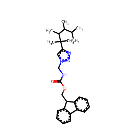 CC(C)C(C)C(C)C(C)(C)c1cn(CNC(=O)OCC2c3ccccc3-c3ccccc32)nn1